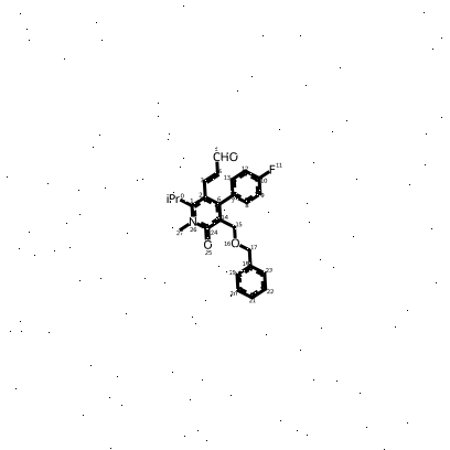 CC(C)c1c(C=CC=O)c(-c2ccc(F)cc2)c(COCc2ccccc2)c(=O)n1C